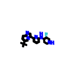 CC(C)(C)c1ccc2ncc(-c3cccc(N[C@H]4CCNC[C@@H]4F)n3)n2c1